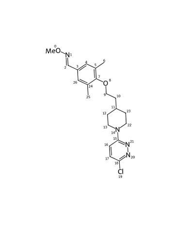 CON=Cc1cc(C)c(OCCC2CCN(c3ccc(Cl)nn3)CC2)c(C)c1